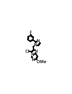 COc1cc2nc(Cn3ccnc3-c3cccc(F)c3)c(Cl)n2cn1